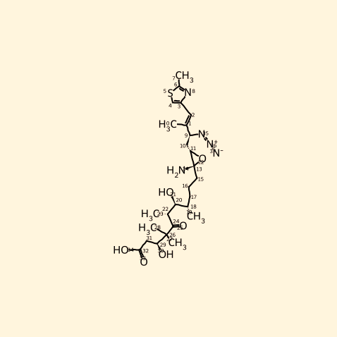 C/C(=C\c1csc(C)n1)[C@H](C[C@@H]1O[C@]1(N)CCC[C@H](C)[C@H](O)[C@@H](C)C(=O)C(C)(C)[C@@H](O)CC(=O)O)N=[N+]=[N-]